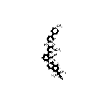 CN1CCC(c2ccc(Nc3cc(-c4cccc(-n5ccc6cc(C(C)(C)C#N)cc(F)c6c5=O)c4CO)nn(C)c3=O)nc2)CC1